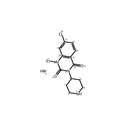 Br.CCn1c(=O)n(C2CCNCC2)c(=O)c2ccc(Cl)cc21